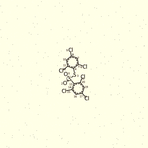 O=S(=O)(Sc1c(Cl)cc(Cl)cc1Cl)c1c(Cl)cc(Cl)cc1Cl